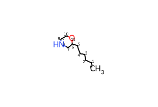 CCCCCCC1CN[CH]CO1